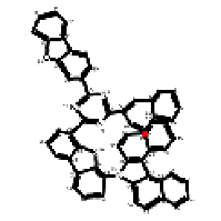 c1ccc2cc(-c3nc(-c4ccc5c(c4)oc4ccccc45)nc(-c4cccc5c4sc4c(-n6c7ccc8ccccc8c7c7c8ccccc8ccc76)cccc45)n3)ccc2c1